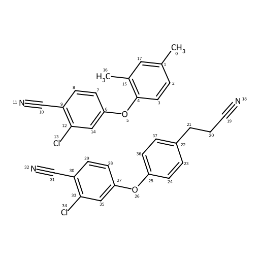 Cc1ccc(Oc2ccc(C#N)c(Cl)c2)c(C)c1.N#CCCc1ccc(Oc2ccc(C#N)c(Cl)c2)cc1